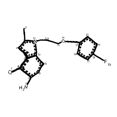 Cc1cc2c(Cl)c(N)ccc2n1CCOc1ccc(F)cc1